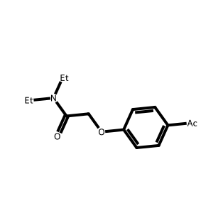 CCN(CC)C(=O)COc1ccc(C(C)=O)cc1